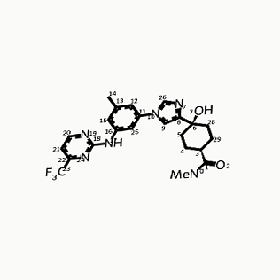 CNC(=O)[C@H]1CC[C@](O)(c2cn(-c3cc(C)cc(Nc4nccc(C(F)(F)F)n4)c3)cn2)CC1